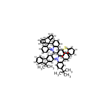 CC(C)(C)c1ccc(N2c3cc4c(cc3B3c5c2cc2c(sc6ccccc62)c5-c2cccc5c2N3c2ccccc2C52c3ccccc3-c3ccccc32)-c2ccccc2C4(C)C)c(-c2ccccc2)c1